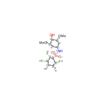 COc1cc(NS(=O)(=O)c2c(F)c(F)c(F)c(F)c2F)cc(OC)c1O